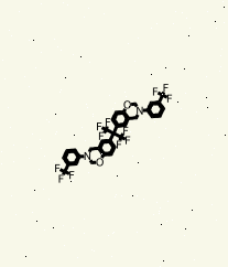 FC(F)(F)c1cccc(N2COc3ccc(C(c4ccc5c(c4)CN(c4cccc(C(F)(F)F)c4)CO5)(C(F)(F)F)C(F)(F)F)cc3C2)c1